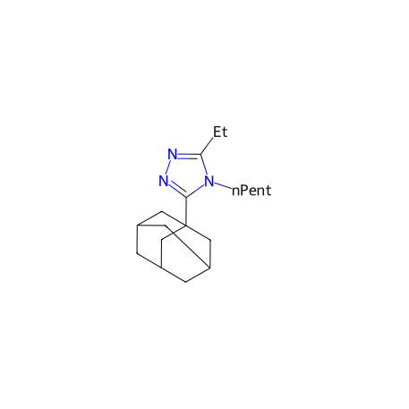 CCCCCn1c(CC)nnc1C12CC3CC(CC(C3)C1)C2